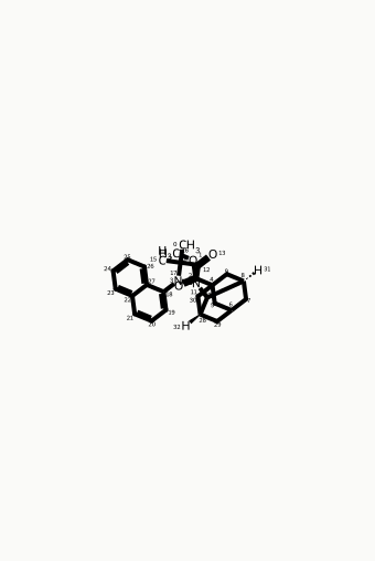 COC(=O)C12CC3C[C@H](C1)C(N1C(=O)C(C)(C)N1c1cccc4ccccc14)[C@H](C3)C2